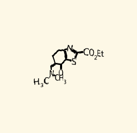 CCOC(=O)c1nc2c(s1)C(=O)/C(=C\N(C)C)CC2